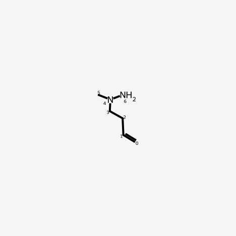 C=CCCN(C)N